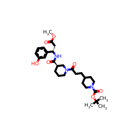 COC(=O)C[C@H](NC(=O)[C@@H]1CCCN(C(=O)CCC2CCN(C(=O)OC(C)(C)C)CC2)C1)c1cccc(O)c1